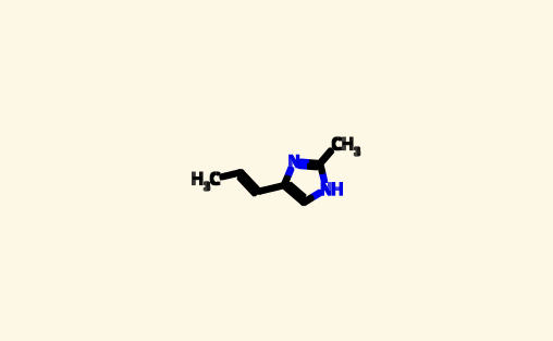 CC=Cc1c[nH]c(C)n1